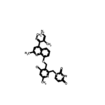 C/C=C(C)\C(=N/C)c1cc(C)nc2c(OCc3c(Cl)cc(C)nc3Cn3ccc(=O)[nH]c3=O)cccc12